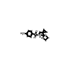 Cc1ccc(S(=O)(=O)OCC2(C3(C)OCCO3)CC2)cc1